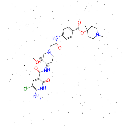 CO[C@H]1CN(CC(=O)Nc2ccc(C(=O)OC3(C)CCN(C)CC3)cc2)CC[C@H]1NC(=O)c1cc(Cl)c(N)[nH]c1=O